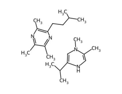 CC1=CNC(C(C)C)=CN1C.Cc1nc(C)c(CCC(C)C)nc1C